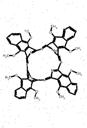 COc1c2c(c(OC)c3ccccc13)-c1nc-2nc2[nH]c(nc3nc(nc4[nH]c(n1)c1c(OC)c5ccccc5c(OC)c41)-c1c-3c(OC)c3ccccc3c1OC)c1c(OC)c3ccccc3c(OC)c21